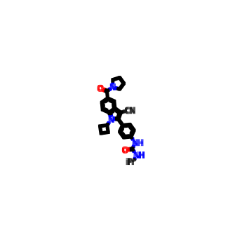 CC(C)NC(=O)Nc1ccc(-c2c(C#N)c3cc(C(=O)N4CCCC4)ccc3n2C2CCC2)cc1